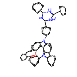 c1ccc(C2NC(c3ccccc3)NC(c3ccc(-n4c5ccc6c7ccccc7oc6c5c5c4ccc4c6ccccc6n(-c6ccccc6)c45)cc3)N2)cc1